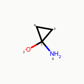 NC1([O])CC1